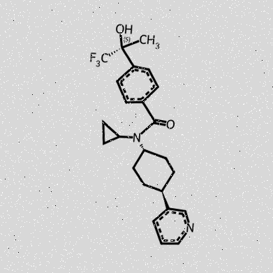 C[C@](O)(c1ccc(C(=O)N(C2CC2)[C@H]2CC[C@H](c3cccnc3)CC2)cc1)C(F)(F)F